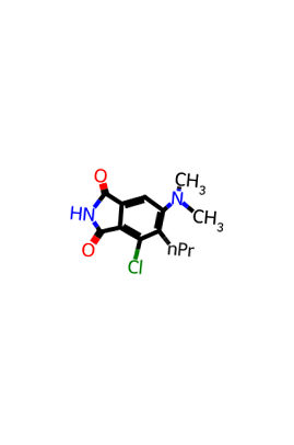 CCCc1c(N(C)C)cc2c(c1Cl)C(=O)NC2=O